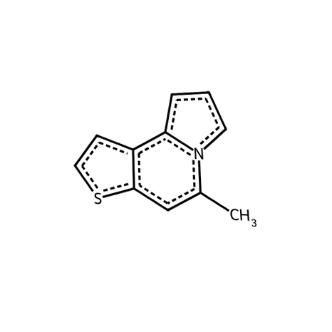 Cc1cc2sccc2c2cccn12